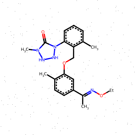 CCON=C(C)c1ccc(C)c(OCc2c(C)cccc2N2NNN(C)C2=O)c1